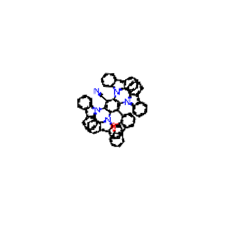 N#Cc1c(-n2c3ccccc3c3ccccc32)c(-n2c3ccccc3c3ccccc32)c(-c2cccc3c2oc2ccccc23)c(-n2c3ccccc3c3ccccc32)c1-n1c2ccccc2c2ccccc21